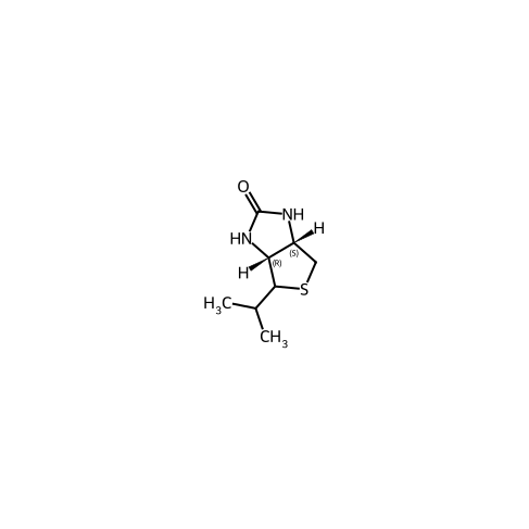 CC(C)C1SC[C@H]2NC(=O)N[C@@H]12